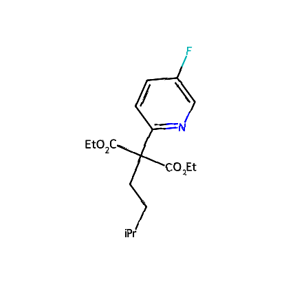 CCOC(=O)C(CCC(C)C)(C(=O)OCC)c1ccc(F)cn1